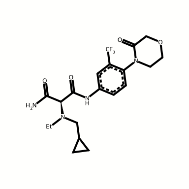 CCN(CC1CC1)[C@@H](C(N)=O)C(=O)Nc1ccc(N2CCOCC2=O)c(C(F)(F)F)c1